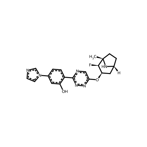 C[C@]12CC[C@H](C[C@@H](Oc3cnc(-c4ccc(-n5ccnc5)cc4O)nn3)[C@H]1F)N2